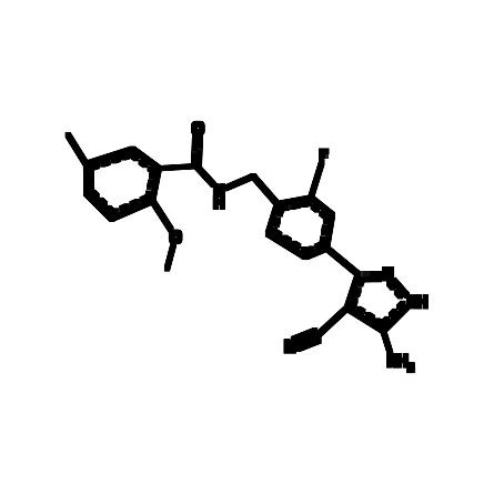 COc1ccc(C)cc1C(=O)NCc1ccc(-c2n[nH]c(N)c2C#N)cc1F